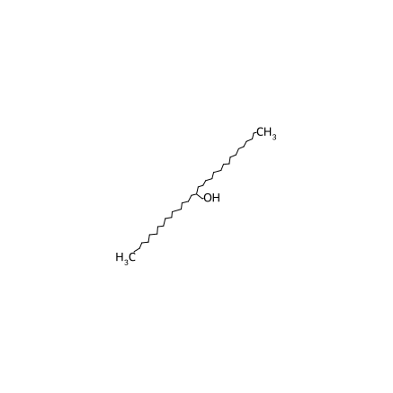 CCCCCCCCCCCCCCCCC(CO)CCCCCCCCCCCCCCCC